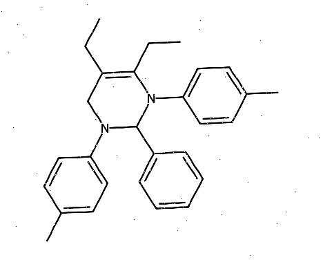 CCC1=C(CC)N(c2ccc(C)cc2)C(c2ccccc2)N(c2ccc(C)cc2)C1